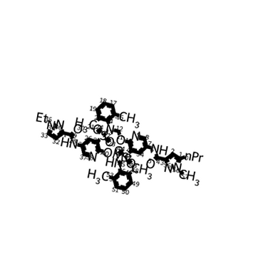 CCCc1cc(C(=O)Nc2cnc(OCN(c3c(C)cccc3C)S(=O)(=O)c3cc(NC(=O)c4ccn(CC)n4)cnc3OC)c(S(=O)(=O)Nc3c(C)cccc3C)c2)nn1C